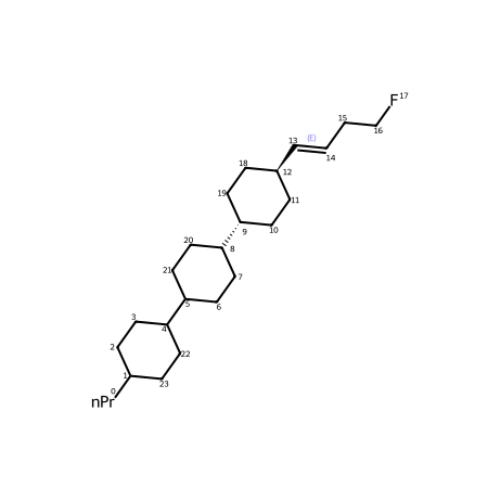 CCCC1CCC(C2CCC([C@H]3CC[C@H](/C=C/CCF)CC3)CC2)CC1